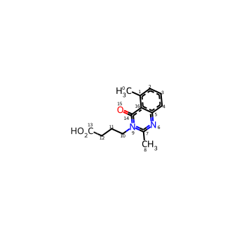 Cc1cccc2nc(C)n(CCCC(=O)O)c(=O)c12